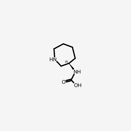 O=C(O)N[C@@H]1CCCCNC1